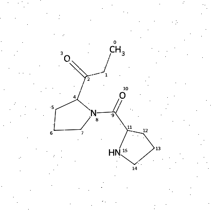 CCC(=O)C1CCCN1C(=O)C1CCCN1